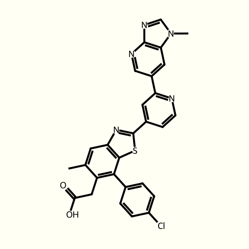 Cc1cc2nc(-c3ccnc(-c4cnc5ncn(C)c5c4)c3)sc2c(-c2ccc(Cl)cc2)c1CC(=O)O